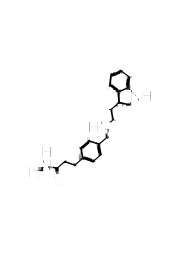 O=C(CCc1ccc(CNCCC2CNc3ccccc32)cc1)NO